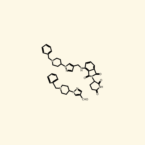 O=C1CCC(N2C(=O)c3cccc(NCc4cnn(C5CCN(Cc6ccccc6)CC5)c4)c3C2=O)C(=O)N1.O=Cc1cnn(C2CCN(Cc3ccccc3)CC2)c1